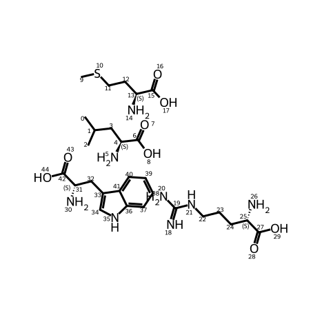 CC(C)C[C@H](N)C(=O)O.CSCC[C@H](N)C(=O)O.N=C(N)NCCC[C@H](N)C(=O)O.N[C@@H](Cc1c[nH]c2ccccc12)C(=O)O